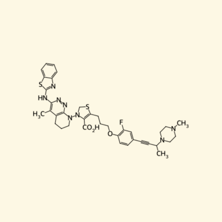 Cc1c(Nc2nc3ccccc3s2)nnc2c1CCCN2N1CSC(CCCOc2ccc(C#CC(C)N3CCN(C)CC3)cc2F)=C1C(=O)O